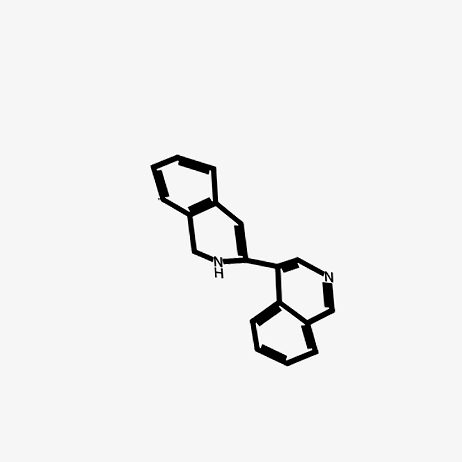 [c]1cccc2c1CNC(c1cncc3ccccc13)=C2